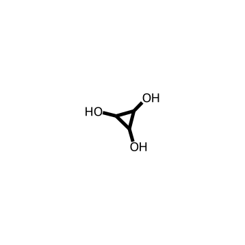 OC1C(O)C1O